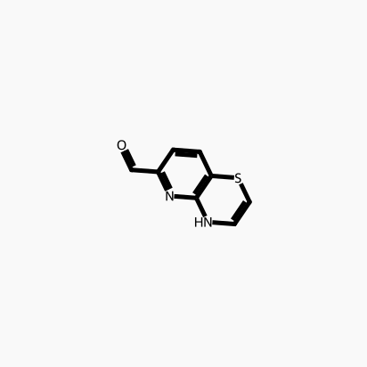 O=Cc1ccc2c(n1)NC=CS2